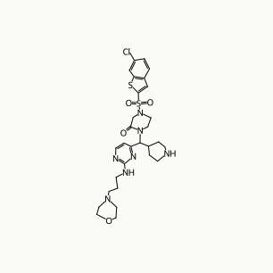 O=C1CN(S(=O)(=O)c2cc3ccc(Cl)cc3s2)CCN1C(c1ccnc(NCCCN2CCOCC2)n1)C1CCNCC1